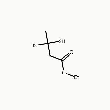 CCOC(=O)CC(C)(S)S